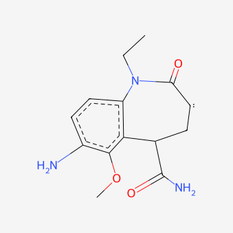 CCN1C(=O)[C]CC(C(N)=O)c2c1ccc(N)c2OC